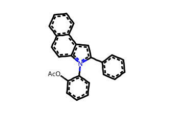 CC(=O)Oc1ccccc1-n1c(-c2ccccc2)cc2c3ccccc3ccc21